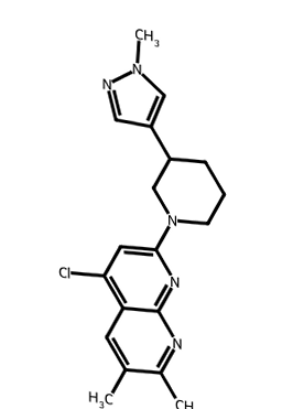 Cc1cc2c(Cl)cc(N3CCCC(c4cnn(C)c4)C3)nc2nc1C